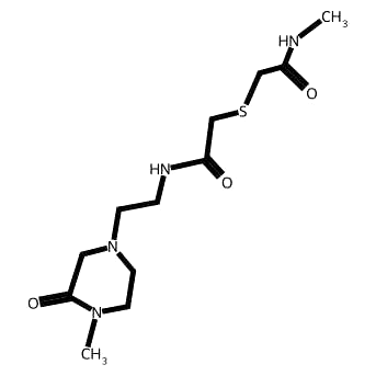 CNC(=O)CSCC(=O)NCCN1CCN(C)C(=O)C1